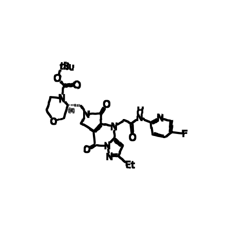 CCc1cc2n(CC(=O)Nc3ccc(F)cn3)c3c(c(=O)n2n1)CN(C[C@@H]1COCCN1C(=O)OC(C)(C)C)C3=O